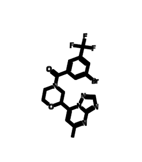 Cc1cc(C2CN(C(=O)c3cc(Br)cc(C(F)(F)F)c3)CCO2)n2ncnc2n1